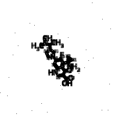 CC(C1CCN(c2cc3[nH]cc(C(=O)O)c(=O)c3c(C3(N)CC3)c2F)C1)N(C)C